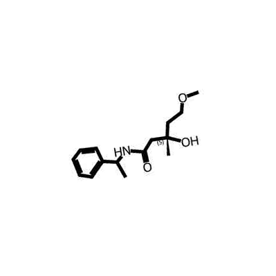 COCC[C@](C)(O)CC(=O)NC(C)c1ccccc1